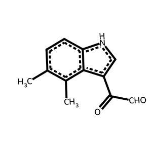 Cc1ccc2[nH]cc(C(=O)C=O)c2c1C